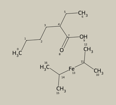 CCCCC(CC)C(=O)O.C[CH](C)[Fe][CH](C)C